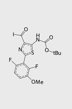 COc1ccc(F)c(-c2nc(C(=O)I)c(NC(=O)OC(C)(C)C)s2)c1F